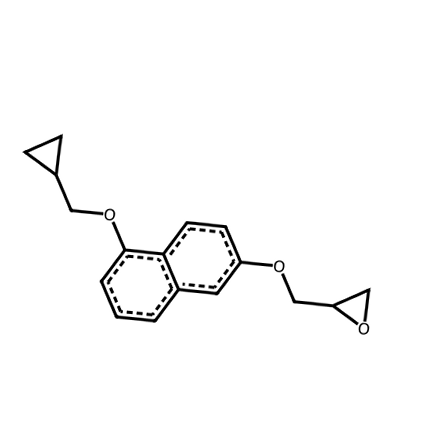 c1cc(OCC2CC2)c2ccc(OCC3CO3)cc2c1